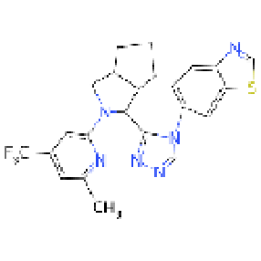 Cc1cc(C(F)(F)F)cc(N2CC3CCCC3C2c2nncn2-c2ccc3ncsc3c2)n1